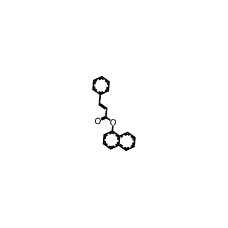 O=C(C=Cc1ccccc1)Oc1cccc2ccccc12